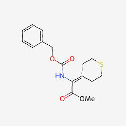 COC(=O)C(NC(=O)OCc1ccccc1)=C1CCSCC1